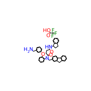 NCc1cccc(Oc2ccccc2N(Cc2ccc3c(c2)Cc2ccccc2-3)C(=O)CCC(=O)NC2CCc3ccccc32)c1.O=C(O)C(F)(F)F